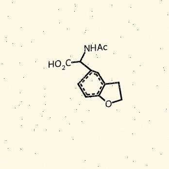 CC(=O)NC(C(=O)O)c1ccc2c(c1)CCO2